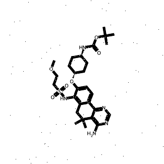 COCCS(=O)(=O)Nc1c(O[C@H]2CC[C@H](NC(=O)OC(C)(C)C)CC2)ccc2c1CC(C)(C)c1c(N)ncnc1-2